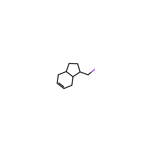 ICC1CCC2CC=CCC12